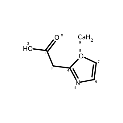 O=C(O)Cc1ncco1.[CaH2]